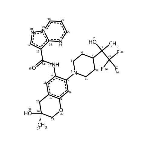 CC(O)(C1CCN(c2cc3c(cc2NC(=O)c2cnn4cccnc24)C[C@](C)(O)CO3)CC1)C(F)(F)F